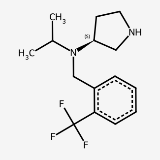 CC(C)N(Cc1ccccc1C(F)(F)F)[C@H]1CCNC1